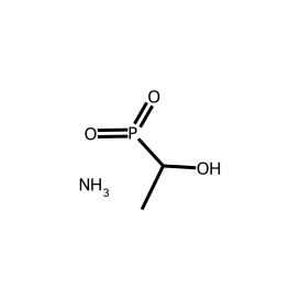 CC(O)P(=O)=O.N